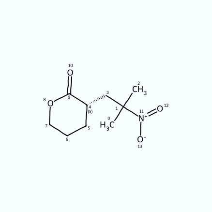 CC(C)(C[C@@H]1CCCOC1=O)[N+](=O)[O-]